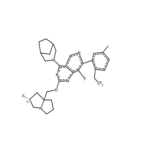 Cc1ccc(CC(F)(F)F)c(-c2ncc3c(N4CC5CCC(C5)C4)nc(OCC45CCCN4C[C@H](F)C5)nc3c2F)c1